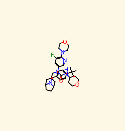 CC(C)(C)c1ccc(CN2C3CCC2CC(CN(C(=O)NC2CCOCC2)c2cnc(N4CCOCC4)c(F)c2)C3)cc1